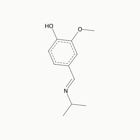 COc1cc(/C=N/C(C)C)ccc1O